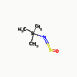 C[Si](C)(C)N=S=O